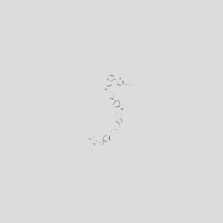 CNc1ccn(-c2ccnc3c2cc([C@H](C)N2CC=C(c4c(F)cc(C(=O)N5CCn6nc(CN7CCC(c8ccc(NC9CCC(=O)NC9=O)cc8F)CC7)cc6C5)cc4F)CC2)n3C)c(=O)c1